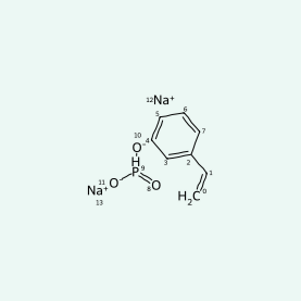 C=Cc1ccccc1.O=[PH]([O-])[O-].[Na+].[Na+]